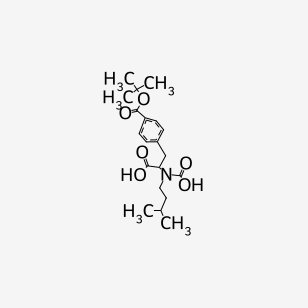 CC(C)CCN(C(=O)O)C(Cc1ccc(C(=O)OC(C)(C)C)cc1)C(=O)O